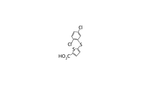 O=C(O)c1ccc(Sc2cc(Cl)ccc2Cl)s1